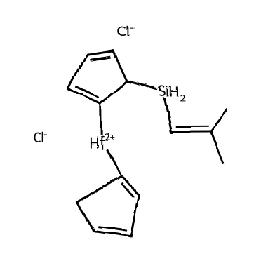 CC(C)=C[SiH2]C1C=CC=[C]1[Hf+2][C]1=CC=CC1.[Cl-].[Cl-]